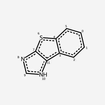 c1ccc2c(c1)sc1nc[nH]c12